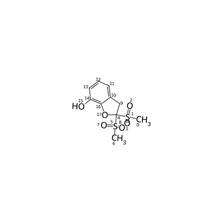 CS(=O)(=O)C1(S(C)(=O)=O)Cc2cccc(O)c2O1